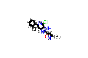 CC(C)(C)c1cc(-c2nc3cc(-c4ccccc4C(F)(F)F)nc(Cl)c3[nH]2)on1